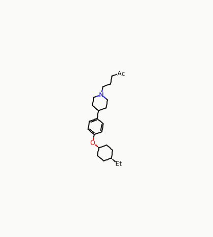 CC[C@H]1CC[C@@H](Oc2ccc(C3CCN(CCCC(C)=O)CC3)cc2)CC1